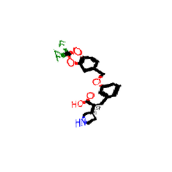 O=C(O)[C@@H](Cc1cccc(OCc2ccc3c(c2)OC(F)(F)O3)c1)[C@H]1CCNC1